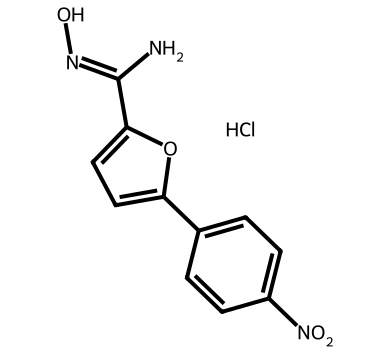 Cl.NC(=NO)c1ccc(-c2ccc([N+](=O)[O-])cc2)o1